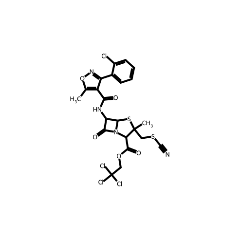 Cc1onc(-c2ccccc2Cl)c1C(=O)NC1C(=O)N2C1SC(C)(CSC#N)C2C(=O)OCC(Cl)(Cl)Cl